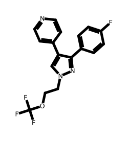 Fc1ccc(-c2nn(CCOC(F)(F)F)cc2-c2ccncc2)cc1